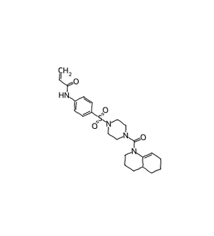 C=CC(=O)Nc1ccc(S(=O)(=O)N2CCN(C(=O)N3CCCC4CCCC=C43)CC2)cc1